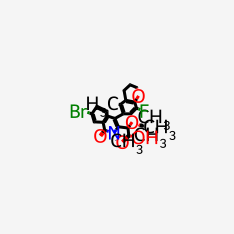 Cc1c(-c2c(C(OC(C)(C)C)C(=O)O)n(C)c(=O)c3cc(Br)ccc23)cc(F)c2c1CCCO2